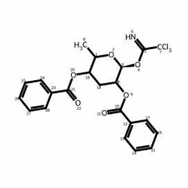 CC1O[C@@H](OC(=N)C(Cl)(Cl)Cl)C(OC(=O)c2ccccc2)CC1OC(=O)c1ccccc1